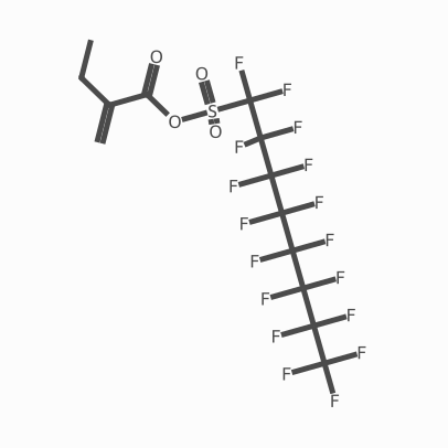 C=C(CC)C(=O)OS(=O)(=O)C(F)(F)C(F)(F)C(F)(F)C(F)(F)C(F)(F)C(F)(F)C(F)(F)C(F)(F)F